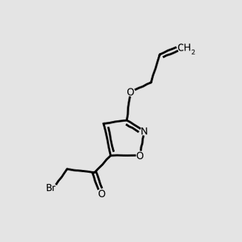 C=CCOc1cc(C(=O)CBr)on1